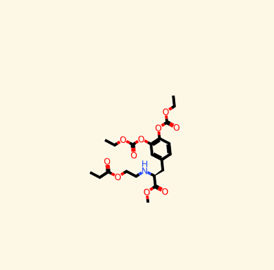 CCOC(=O)Oc1ccc(C[C@H](NCCOC(=O)CC)C(=O)OC)cc1OC(=O)OCC